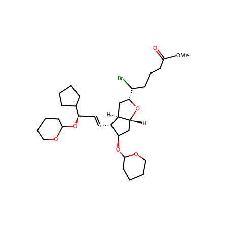 COC(=O)CCCC(Br)[C@H]1C[C@@H]2[C@@H](C=C[C@@H](OC3CCCCO3)C3CCCC3)[C@H](OC3CCCCO3)C[C@H]2O1